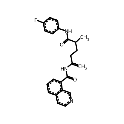 C=C(CCC(C)C(=O)Nc1ccc(F)cc1)NC(=O)c1cccc2ccncc12